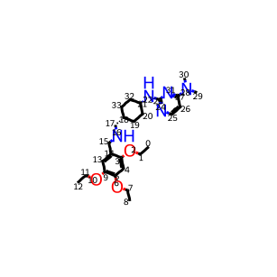 CCOc1cc(OCC)c(OCC)cc1CNC[C@H]1CC[C@@H](Nc2nccc(N(C)C)n2)CC1